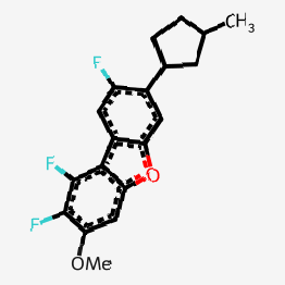 COc1cc2oc3cc(C4CCC(C)C4)c(F)cc3c2c(F)c1F